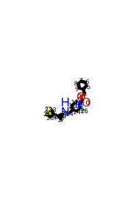 O=C(OCc1ccccc1)N1CCC(CN[C@@H]2C[C@H]2c2ccsc2)CC1F